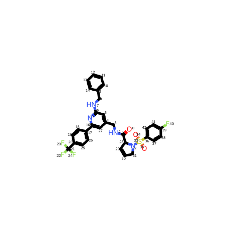 O=C(NCc1cc(NCc2ccccc2)nc(-c2ccc(C(F)(F)F)cc2)c1)C1C=CCN1S(=O)(=O)c1ccc(F)cc1